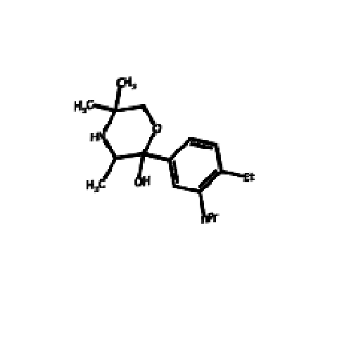 CCCc1cc(C2(O)OCC(C)(C)NC2C)ccc1CC